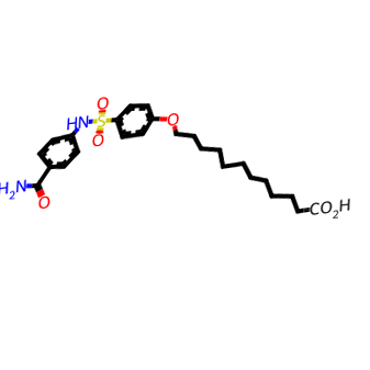 NC(=O)c1ccc(NS(=O)(=O)c2ccc(OCCCCCCCCCCCC(=O)O)cc2)cc1